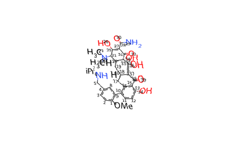 COc1ccc(CNC(C)C)cc1-c1ccc(O)c2c1C[C@H]1C[C@H]3C(N(C)C)C(O)=C(C(N)=O)C(=O)[C@@]3(O)C(O)=C1C2=O